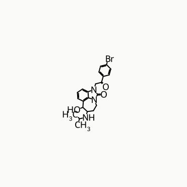 CC(C)NC1CCn2c(=O)n(CC(=O)c3ccc(Br)cc3)c3cccc(c32)C1O